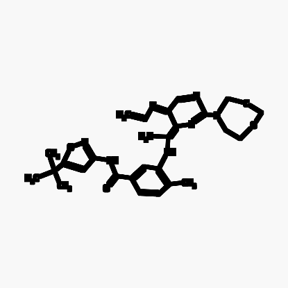 C=C/N=C1/C=NC(N2CCCOCC2)=N/C1=C(/N)Nc1cc(C(=O)Nc2cc(C(C)(C)C)on2)ccc1C